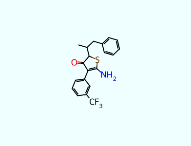 CC(Cc1ccccc1)C1SC(N)=C(c2cccc(C(F)(F)F)c2)C1=O